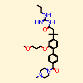 CCCNC(=N)NC(=O)CC(C)(C)c1ccc(-c2ccc(C(=O)N3CCN(C)CC3)cc2)c(OCCCOC)c1